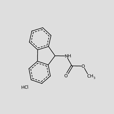 COC(=O)NC1c2ccccc2-c2ccccc21.Cl